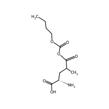 CCCCOC(=O)OC(=O)C(C)C[C@H](N)C(=O)O